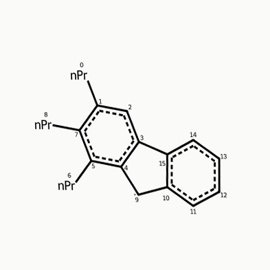 CCCc1cc2c(c(CCC)c1CCC)[CH]c1ccccc1-2